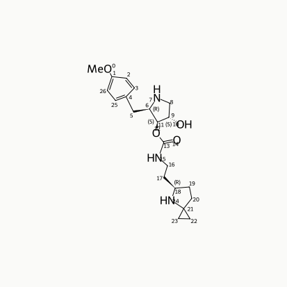 COc1ccc(C[C@H]2NC[C@H](O)[C@H]2OC(=O)NCC[C@H]2CCC3(CC3)N2)cc1